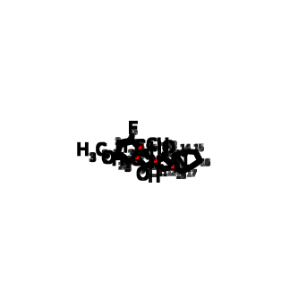 COc1cc(F)cc(C(=O)NCC2CC3CCC(C2)N3CC(=O)NC(C)(C)C)c1